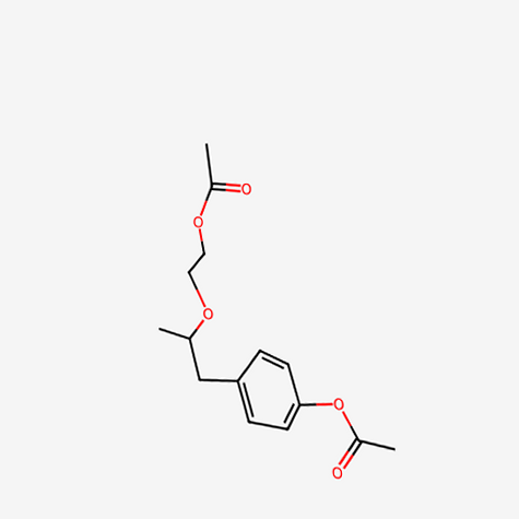 CC(=O)OCCOC(C)Cc1ccc(OC(C)=O)cc1